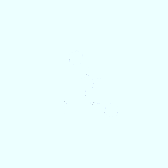 CC(C)C(=O)N1CCC2(CC1)OCc1c2c(=O)n(C[C@H](N)c2ccccc2)c(=O)n1Cc1c(F)cccc1C(F)(F)F